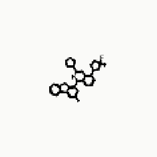 Cc1cc2c(c(-c3nc(C4CCCC4)cc4c(C5CCC(F)(F)C5)cccc34)c1)Cc1ccccc1-2